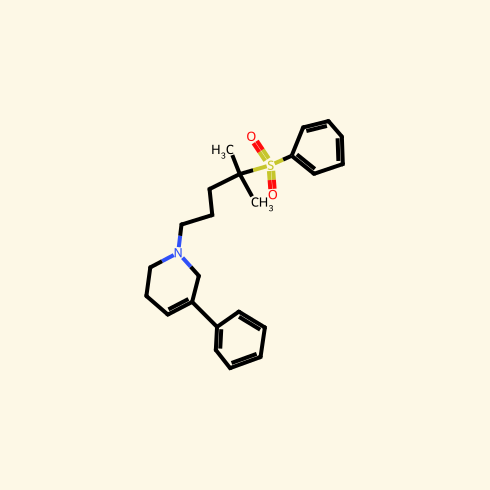 CC(C)(CCCN1CCC=C(c2ccccc2)C1)S(=O)(=O)c1ccccc1